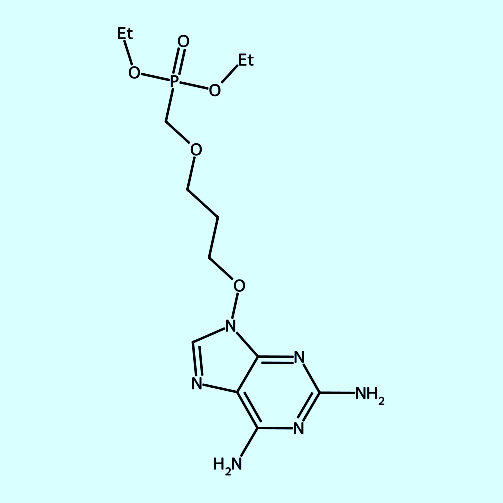 CCOP(=O)(COCCCOn1cnc2c(N)nc(N)nc21)OCC